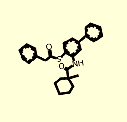 CC1(C(=O)Nc2cc(-c3ccccc3)ccc2SC(=O)Cc2ccccc2)CCCCC1